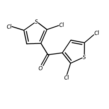 O=C(c1cc(Cl)sc1Cl)c1cc(Cl)sc1Cl